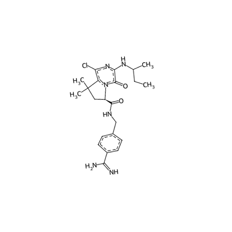 CCC(C)Nc1nc(Cl)c2n(c1=O)[C@@H](C(=O)NCc1ccc(C(=N)N)cc1)CC2(C)C